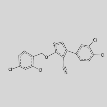 N#Cc1c(-c2ccc(Cl)c(Cl)c2)csc1OCc1ccc(Cl)cc1Cl